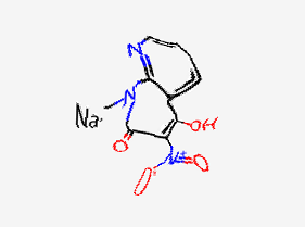 Cn1c(=O)c([N+](=O)[O-])c(O)c2cccnc21.[Na]